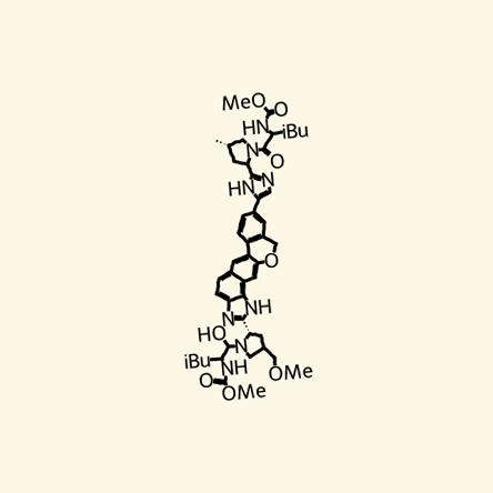 CCC(C)C(NC(=O)OC)C(=O)N1C[C@@H](C)CC1c1ncc(-c2ccc3c(c2)COc2cc4c(ccc5nc([C@@H]6CC(COC)CN6C(O)C(NC(=O)OC)C(C)CC)[nH]c54)cc2-3)[nH]1